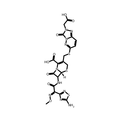 CO/N=C(/C(=O)NC1C(=O)N2C(C(=O)O)=C(CSc3ccc4nn(CC(=O)O)c(=O)n4n3)CS[C@H]12)c1nsc(N)n1